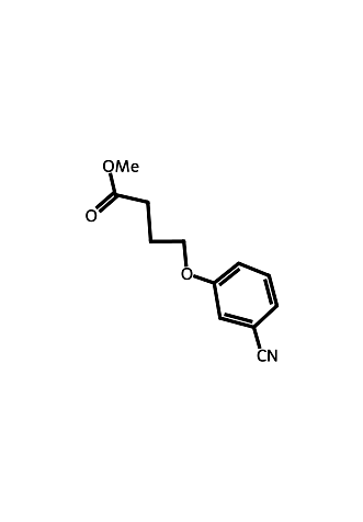 COC(=O)CCCOc1cccc(C#N)c1